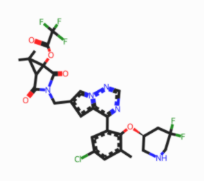 Cc1cc(Cl)cc(-c2ncnn3cc(CN4C(=O)C5C(C)(C)C5(OC(=O)C(F)(F)F)C4=O)cc23)c1O[C@@H]1CNCC(F)(F)C1